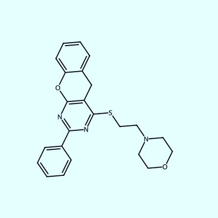 c1ccc(-c2nc3c(c(SCCN4CCOCC4)n2)Cc2ccccc2O3)cc1